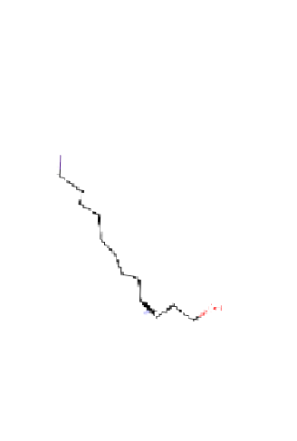 OCC/C=C\CCCCCCCCI